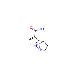 NC(=O)C1=CC[N+]2=C1C1CCN2C1